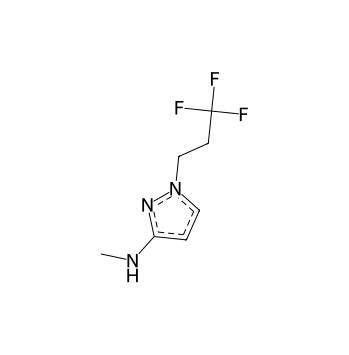 CNc1ccn(CCC(F)(F)F)n1